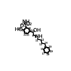 NS(=O)(=O)c1cc(C(O)CNCCCCc2ccccc2)ccc1O